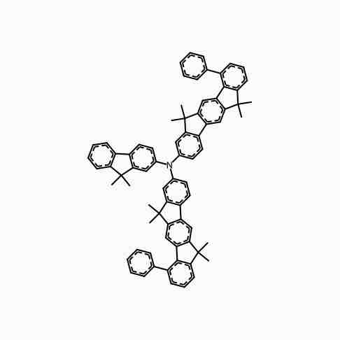 CC1(C)c2ccccc2-c2ccc(N(c3ccc4c(c3)C(C)(C)c3cc5c(cc3-4)C(C)(C)c3cccc(-c4ccccc4)c3-5)c3ccc4c(c3)C(C)(C)c3cc5c(cc3-4)C(C)(C)c3cccc(-c4ccccc4)c3-5)cc21